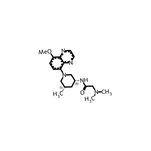 COc1ccc(N2C[C@@H](C)C[C@@H](NC(=O)CN(C)C)C2)c2nccnc12